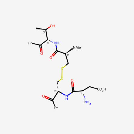 CCC(=O)[C@H](CSSC[C@H](NC)C(=O)N[C@H](C(=O)C(C)C)[C@@H](C)O)NC(=O)[C@@H](N)CC(=O)O